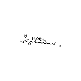 CCCCCCCCCCCCCCCCCC(=O)OCC(S)S.[CH3][Sn][CH3]